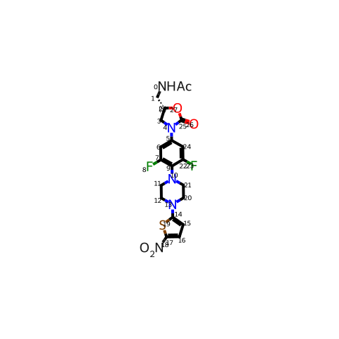 CC(=O)NC[C@H]1CN(c2cc(F)c(N3CCN(c4ccc([N+](=O)[O-])s4)CC3)c(F)c2)C(=O)O1